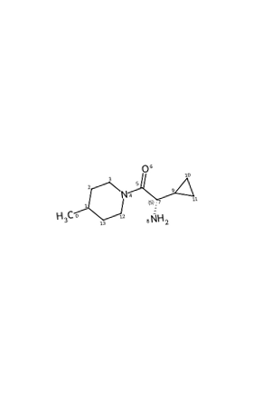 CC1CCN(C(=O)[C@@H](N)C2CC2)CC1